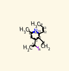 C=Cc1c(C(=C)I)cc(C)nc1/C=C\C